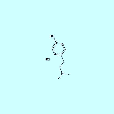 CN(C)CCc1ccc(O)cc1.Cl